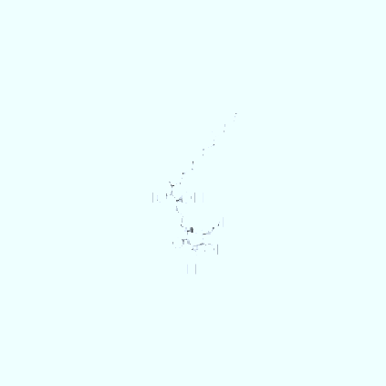 CCCCCCCCCCCCC(C)C(O)C(O)CCC[C@H]1OC(CO)C(O)C(O)[C@H]1O